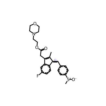 CC1=C(CC(=O)OCCN2CCOCC2)c2cc(F)ccc2/C1=C\c1ccc([S+](C)[O-])cc1